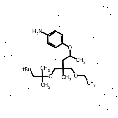 CC(CC(C)(COCC(F)(F)F)COC(C)(C)CC(C)(C)C)Oc1ccc(N)cc1